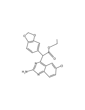 CCOC(=O)C(c1ccc2c(c1)OCO2)c1nc(N)nc2ccc(Cl)cc12